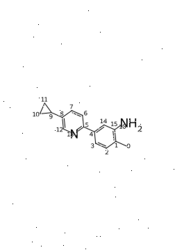 Cc1ccc(-c2ccc(C3CC3)cn2)cc1N